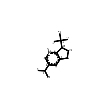 CC(C)c1cnc2c(c1)CCC2C(C)(C)C